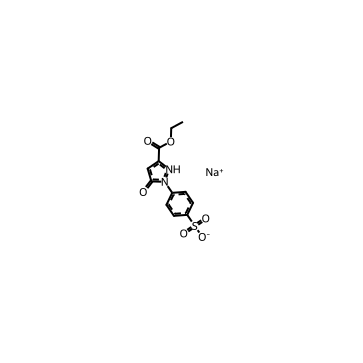 CCOC(=O)c1cc(=O)n(-c2ccc(S(=O)(=O)[O-])cc2)[nH]1.[Na+]